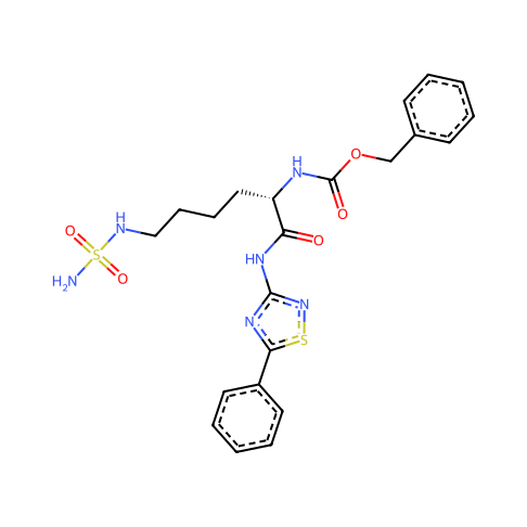 NS(=O)(=O)NCCCC[C@H](NC(=O)OCc1ccccc1)C(=O)Nc1nsc(-c2ccccc2)n1